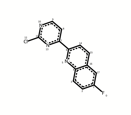 Fc1ccc2nc(-c3ccnc(Cl)n3)ccc2c1